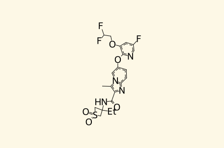 CCC1(NC(=O)c2nc3ccc(Oc4ncc(F)cc4OCC(F)F)cn3c2C)CS(=O)(=O)C1